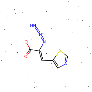 N=[N+]=NC(=Cc1cncs1)C(=O)[O-]